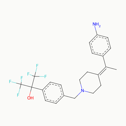 CC(=C1CCN(Cc2ccc(C(O)(C(F)(F)F)C(F)(F)F)cc2)CC1)c1ccc(N)cc1